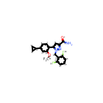 NC(=O)c1cc(-c2ccc(C3CC3)cc2OC(F)(F)F)n(Cc2c(F)cccc2F)n1